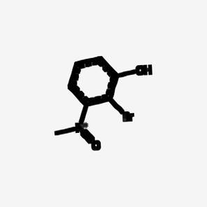 C[N+](=O)c1cccc(O)c1Br